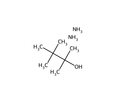 CC(C)(C)C(C)(C)O.N.N